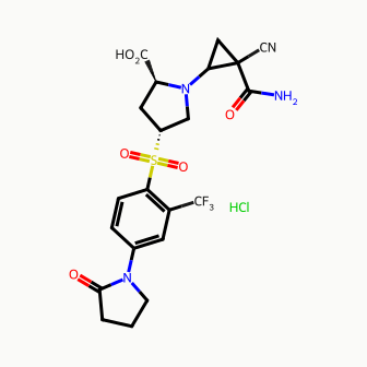 Cl.N#CC1(C(N)=O)CC1N1C[C@H](S(=O)(=O)c2ccc(N3CCCC3=O)cc2C(F)(F)F)C[C@H]1C(=O)O